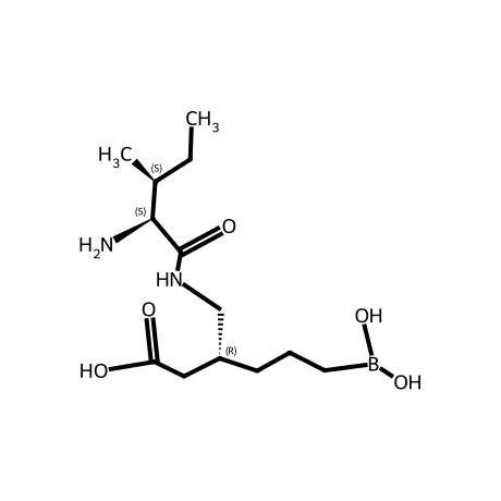 CC[C@H](C)[C@H](N)C(=O)NC[C@H](CCCB(O)O)CC(=O)O